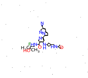 CC(C)(O)[C@H](F)CNC(=O)c1cnc(-c2ccc3cc(C#N)cnn23)cc1NC1CC(CNC2COC2)C1